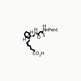 CCCCCNC(=S)CC(=O)NC[C@H]1[C@@H](C/C=C\CCCC(=O)O)[C@H]2CC[C@@H]1S2